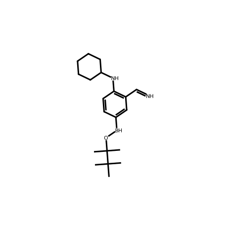 CC(C)(C)C(C)(C)OBc1ccc(NC2CCCCC2)c(C=N)c1